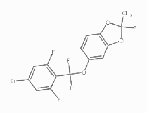 CC1(F)Oc2ccc(OC(F)(F)c3c(F)cc(Br)cc3F)cc2O1